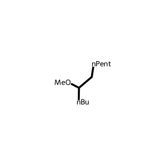 CCCCCCC(CCCC)OC